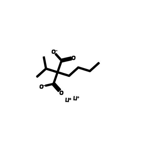 CCCCC(C(=O)[O-])(C(=O)[O-])C(C)C.[Li+].[Li+]